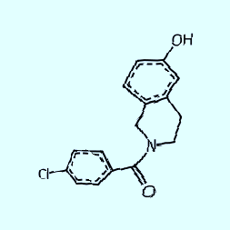 O=C(c1ccc(Cl)cc1)N1CCc2cc(O)ccc2C1